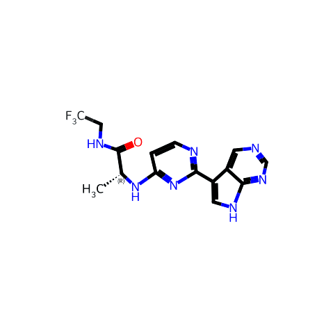 C[C@@H](Nc1ccnc(-c2c[nH]c3ncncc23)n1)C(=O)NCC(F)(F)F